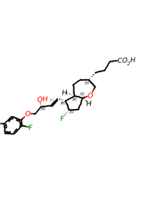 O=C(O)CCC[C@H]1CC[C@@H]2[C@@H](/C=C/[C@@H](O)COc3cc(F)ccc3F)[C@@H](F)C[C@@H]2OC1